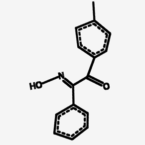 Cc1ccc(C(=O)C(=NO)c2ccccc2)cc1